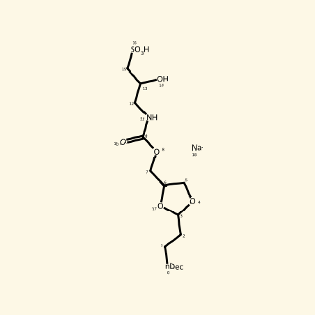 CCCCCCCCCCCCC1OCC(COC(=O)NCC(O)CS(=O)(=O)O)O1.[Na]